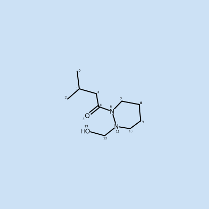 CC(C)CC(=O)N1CCCCN1CO